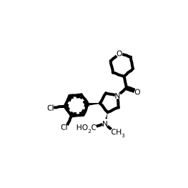 CN(C(=O)O)[C@H]1CN(C(=O)C2CCOCC2)C[C@@H]1c1ccc(Cl)c(Cl)c1